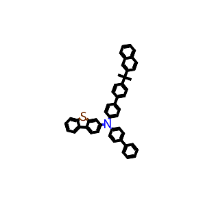 CC(C)(c1ccc(-c2ccc(N(c3ccc(-c4ccccc4)cc3)c3ccc4c(c3)sc3ccccc34)cc2)cc1)c1ccc2ccccc2c1